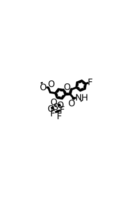 CNC(=O)c1c(-c2ccc(F)cc2)oc2cc(CC(=O)OC)c(OS(=O)(=O)C(F)(F)F)cc12